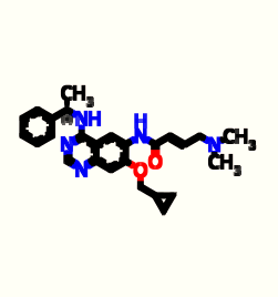 C[C@@H](Nc1ncnc2cc(OCC3CC3)c(NC(=O)C=CCN(C)C)cc12)c1ccccc1